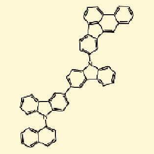 c1ccc2c(-n3c4ccccc4c4cc(-c5ccc6c(c5)c5ccccc5n6-c5ccc6c(c5)-c5cc7ccccc7c7cccc-6c57)ccc43)cccc2c1